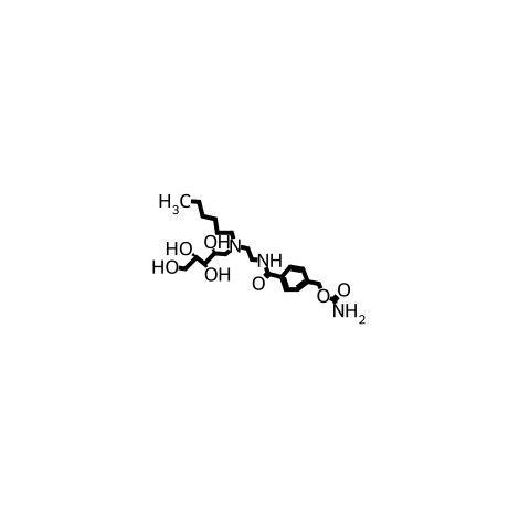 CCCCCCN(CCNC(=O)c1ccc(COC(N)=O)cc1)C[C@H](O)[C@@H](O)[C@H](O)CO